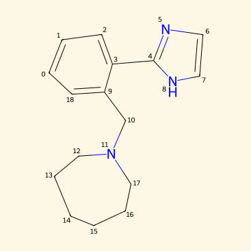 c1ccc(-c2ncc[nH]2)c(CN2CCCCCC2)c1